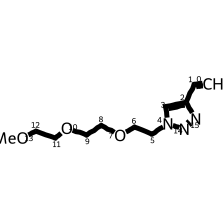 C=Cc1cn(CCOCCOCCOC)nn1